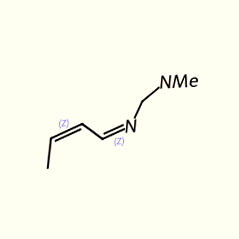 C/C=C\C=N/CNC